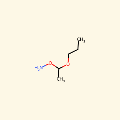 CCCOC(C)ON